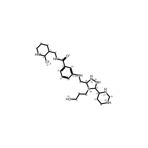 O=C(NCC1CCCNC1C(F)(F)F)c1cccc(NCC2NNC(C3CCNCN3)N2CCCO)c1